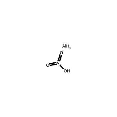 [AlH3].[O]=[V](=[O])[OH]